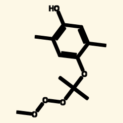 COOOC(C)(C)Oc1cc(C)c(O)cc1C